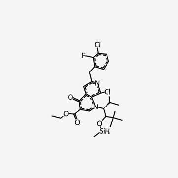 CCOC(=O)c1cn([C@@H](C(C)C)C(O[SiH](C)C)C(C)(C)C)c2c(Cl)nc(Cc3cccc(Cl)c3F)cc2c1=O